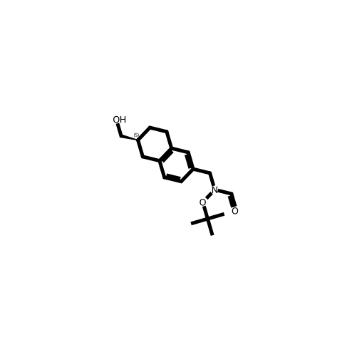 CC(C)(C)ON(C=O)Cc1ccc2c(c1)CC[C@H](CO)C2